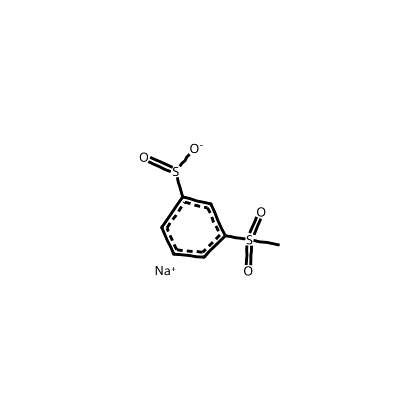 CS(=O)(=O)c1cccc(S(=O)[O-])c1.[Na+]